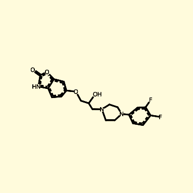 O=c1[nH]c2ccc(OCC(O)CN3CCN(c4ccc(F)c(F)c4)CC3)cc2o1